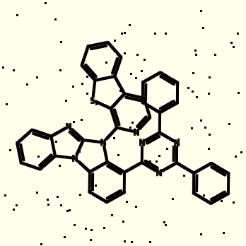 c1ccc(-c2nc(-c3ccccc3)nc(-c3cccc4c3n(-c3nccc5c3sc3ccccc35)c3nc5ccccc5n43)n2)cc1